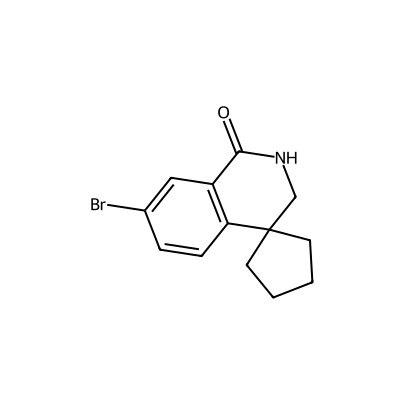 O=C1NCC2(CCCC2)c2ccc(Br)cc21